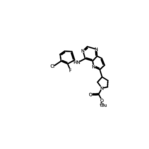 CC(C)(C)OC(=O)N1CCC(c2ccc3ncnc(Nc4cccc(Cl)c4F)c3n2)C1